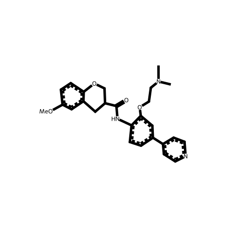 COc1ccc2c(c1)CC(C(=O)Nc1ccc(-c3ccncc3)cc1OCCN(C)C)CO2